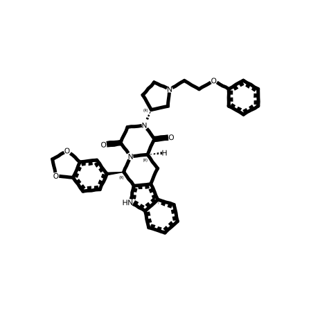 O=C1[C@H]2Cc3c([nH]c4ccccc34)[C@@H](c3ccc4c(c3)OCO4)N2C(=O)CN1[C@@H]1CCN(CCOc2ccccc2)C1